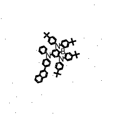 CC(C)(C)c1ccc(N2c3ccc(C(C)(C)C)cc3B3c4cc(C(C)(C)C)ccc4N(c4ccc(C(C)(C)C)cc4)c4cc(N(c5ccccc5)c5ccc(-c6ccc7ccccc7c6)cc5)cc2c43)cc1